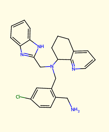 NCc1ccc(Cl)cc1CN(Cc1nc2ccccc2[nH]1)C1CCCc2cccnc21